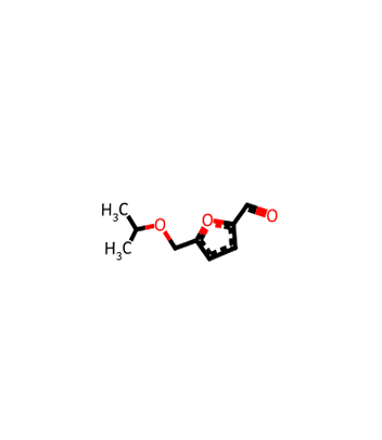 CC(C)OCc1ccc(C=O)o1